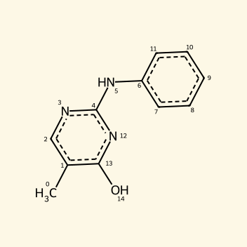 Cc1cnc(Nc2ccccc2)nc1O